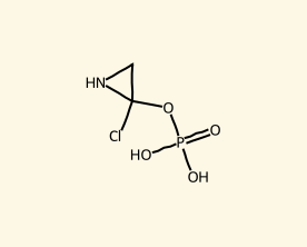 O=P(O)(O)OC1(Cl)CN1